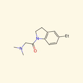 CCc1ccc2c(c1)CCN2C(=O)CN(C)C